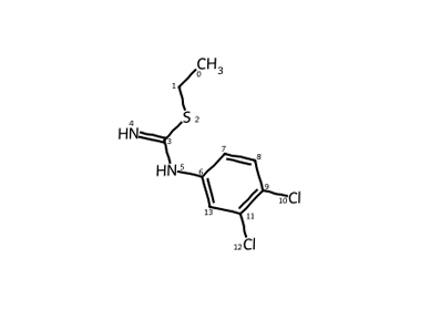 CCSC(=N)Nc1ccc(Cl)c(Cl)c1